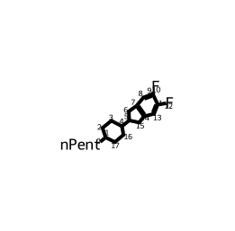 CCCCCC1CCC(C2Cc3cc(F)c(F)cc3C2)CC1